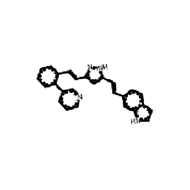 C(=C\c1cc(/C=C/c2ccccc2-c2cccnc2)n[nH]1)/c1ccc2cc[nH]c2c1